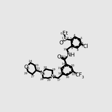 CC[S+]([O-])c1ccc(Cl)cc1CNC(=O)c1cc(CN2CCN(C3CCOCC3)CC2)cc(C(F)(F)F)c1